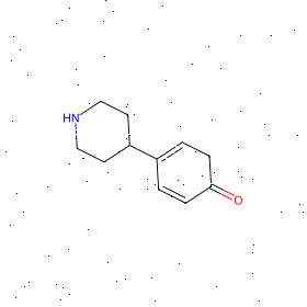 O=C1C=CC(C2CCNCC2)=CC1